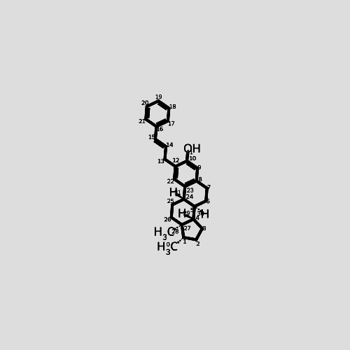 C[C@H]1CC[C@H]2[C@@H]3CCc4cc(O)c(C/C=C/c5ccccc5)cc4[C@H]3CC[C@]12C